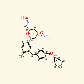 NO[C@@H]1CC(c2ccc(Cl)c(Cc3ccc(OC4C5COCC54)cc3)c2)O[C@H](CNO)C1